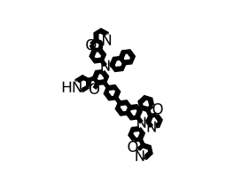 C1=Cc2c(oc3c(-c4ccc(-c5ccc6cc(N(c7ccc8oc9ncccc9c8c7)c7nccc8oc9ccccc9c78)ccc6c5)cc4)cc(N(c4ccc5ccccc5c4)c4ccc5oc6cccnc6c5c4)cc23)CN1